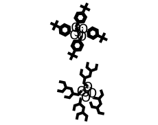 CC(C)(C)c1ccc(O[Si](Oc2ccc(C(C)(C)C)cc2)(Oc2ccc(C(C)(C)C)cc2)Oc2ccc(C(C)(C)C)cc2)cc1.CCC(CC)CC(CC)CO[Si](OCC(CC)CC(CC)CC)(OCC(CC)CC(CC)CC)OCC(CC)CC(CC)CC